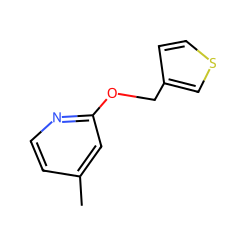 Cc1ccnc(OCc2ccsc2)c1